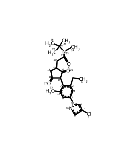 CCc1cc(-n2cc(Cl)cn2)cc(C)c1C1C(=O)CC(CC(=O)N(C)C(C)(C)C)C1=O